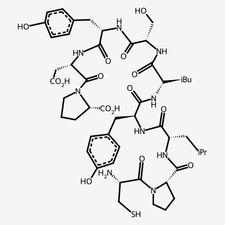 CC[C@H](C)[C@H](NC(=O)[C@H](Cc1ccc(O)cc1)NC(=O)[C@H](CC(C)C)NC(=O)[C@@H]1CCCN1C(=O)[C@@H](N)CS)C(=O)N[C@@H](CO)C(=O)N[C@@H](Cc1ccc(O)cc1)C(=O)N[C@@H](CC(=O)O)C(=O)N1CCC[C@H]1C(=O)O